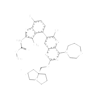 CC(C)(C)OC(=O)Nc1sc2c(F)ccc(-c3cc4nc(OC[C@@]56CCCN5C[C@H](F)C6)nc(N5CCCOCC5)c4nc3C(F)(F)F)c2c1C#N